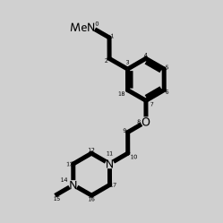 CNCCc1cccc(OCCN2CCN(C)CC2)c1